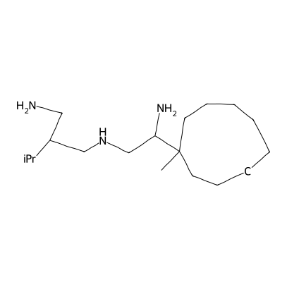 CC(C)C(CN)CNCC(N)C1(C)CCCCCCCC1